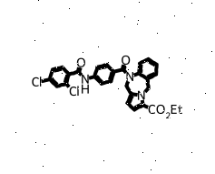 CCOC(=O)c1ccc2n1Cc1ccccc1N(C(=O)c1ccc(NC(=O)c3ccc(Cl)cc3Cl)cc1)C2